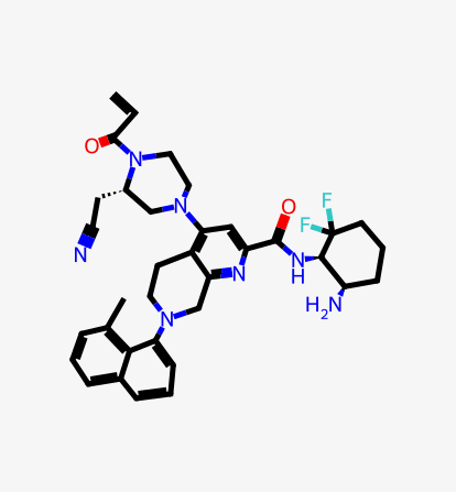 C=CC(=O)N1CCN(c2cc(C(=O)N[C@@H]3[C@H](N)CCCC3(F)F)nc3c2CCN(c2cccc4cccc(C)c24)C3)C[C@@H]1CC#N